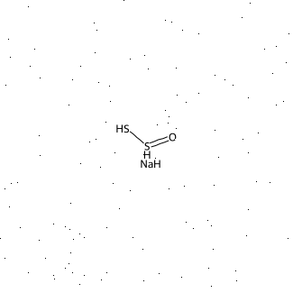 O=[SH]S.[NaH]